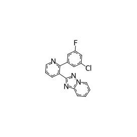 Fc1cc(Cl)cc(-c2ncccc2-c2nc3ccccn3n2)c1